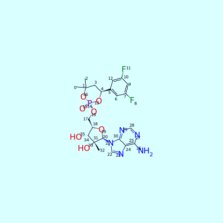 CC1(C)C[C@@H](c2cc(F)cc(F)c2)O[P@@](=O)(OC[C@H]2O[C@@H](n3cnc4c(N)ncnc43)[C@](C)(O)[C@@H]2O)O1